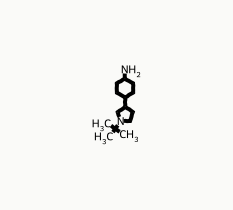 CC(C)(C)N1CCC(C2CCC(N)CC2)C1